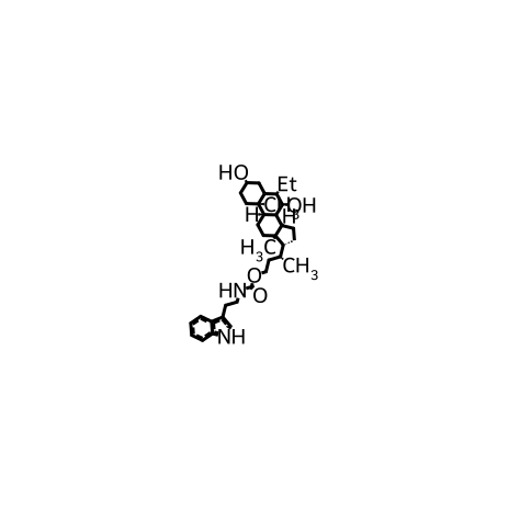 CC[C@@H]1C2C[C@H](O)CC[C@@]2(C)[C@H]2CCC3(C)[C@@H]([C@H](C)CCOC(=O)NCCc4c[nH]c5ccccc45)CC[C@H]3C2[C@@H]1O